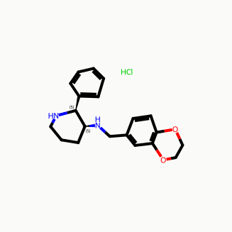 Cl.c1ccc([C@@H]2NCCC[C@@H]2NCc2ccc3c(c2)OCCO3)cc1